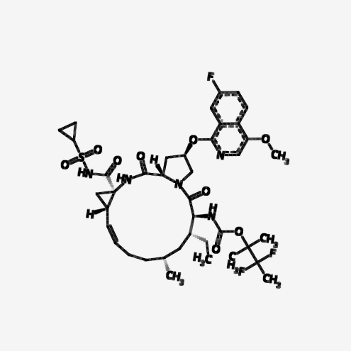 CC[C@@H]1C[C@H](C)CC/C=C\[C@@H]2C[C@@]2(C(=O)NS(=O)(=O)C2CC2)NC(=O)[C@@H]2C[C@@H](Oc3ncc(OC)c4ccc(F)cc34)CN2C(=O)[C@H]1NC(=O)OC(C)(C)C(C)(F)F